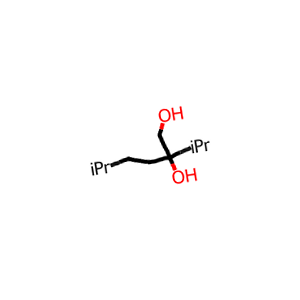 CC(C)CCC(O)(CO)C(C)C